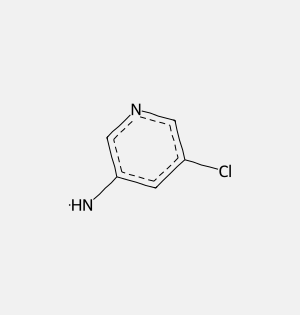 [NH]c1cncc(Cl)c1